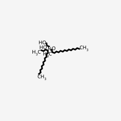 CCCCCCCCCCCCCCC(C)C(=O)N(CC(O)CO)C(CCCC)CCCCCCCCCCCCC